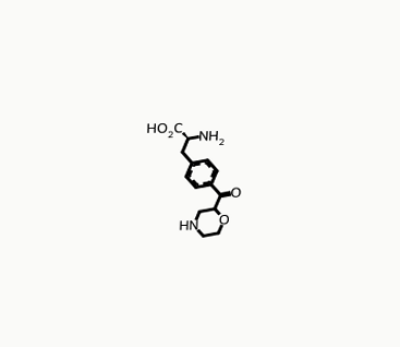 N[C@@H](Cc1ccc(C(=O)C2CNCCO2)cc1)C(=O)O